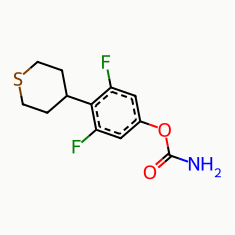 NC(=O)Oc1cc(F)c(C2CCSCC2)c(F)c1